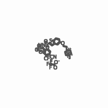 C[N+]12CC[N+](CCOc3ccc4sc(S(=O)(=O)NC(c5ccc(C#N)c(C(F)(F)F)c5)P(=O)([O-])O)cc4c3)(CC1)CC2.O=C([O-])C(F)(F)F